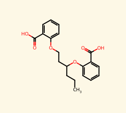 CCCC(CCOc1ccccc1C(=O)O)Oc1ccccc1C(=O)O